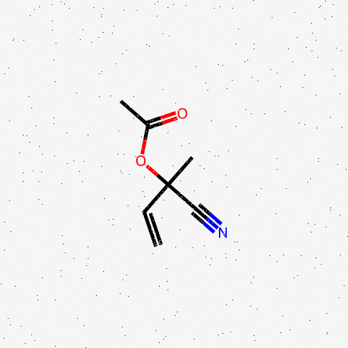 C=CC(C)(C#N)OC(C)=O